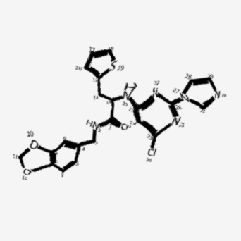 O=C(NCc1ccc2c(c1)OCO2)C(Cc1cccs1)Nc1cc(Cl)nc(-n2ccnc2)n1